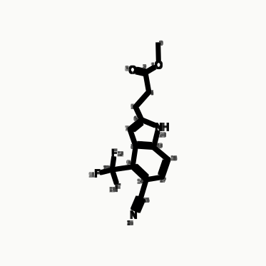 COC(=O)CCc1cc2c(C(F)(F)F)c(C#N)ccc2[nH]1